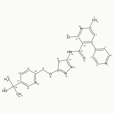 Cc1cc(-c2ccncc2)c(C(=O)Nc2nnc(OCc3ccc(C(C)(C)O)cn3)s2)c(Cl)n1